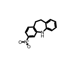 O=[N+]([O-])c1ccc2c(c1)Nc1ccccc1CC2